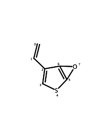 C=Cc1csc2c1O2